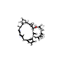 C/C1=C\C=C\[C@@H](C)[C@@]2(O)C[C@H](OC(=O)N2)[C@@H](C)C2O[C@@]2(C)[C@@H]2CC(=O)N(CC(=O)C(C)(O)C(=O)N(C)[C@@H](C)C(=O)O2)c2cc(cc(C)c2Cl)C1